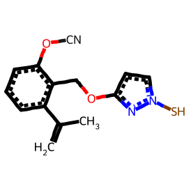 C=C(C)c1cccc(OC#N)c1COc1ccn(S)n1